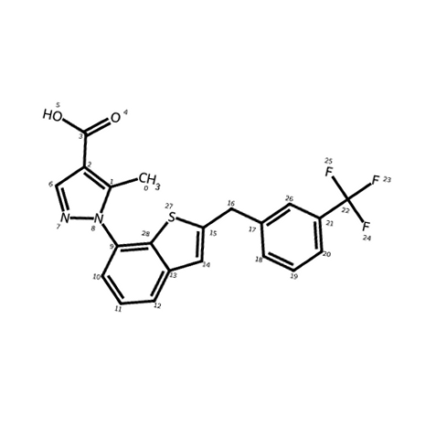 Cc1c(C(=O)O)cnn1-c1cccc2cc(Cc3cccc(C(F)(F)F)c3)sc12